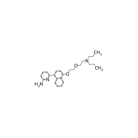 CCCN(CCC)CCOCCOc1ccc(-c2cccc(N)n2)c2ccccc12